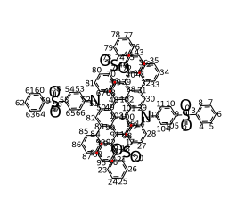 O=S(=O)(c1ccccc1)c1ccc(N(c2ccc(S(=O)(=O)c3ccccc3)cc2)c2cc(-c3ccccc3)c3c(-c4ccccc4)ccc4c5c(N(c6ccc(S(=O)(=O)c7ccccc7)cc6)c6ccc(S(=O)(=O)c7ccccc7)cc6)cc(-c6ccccc6)c6c(-c7ccccc7)ccc(c2c34)c65)cc1